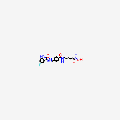 O=C(CCCCCNC(=O)c1ccc(C=NN=C2C(=O)Nc3ccc(F)cc32)cc1)NO